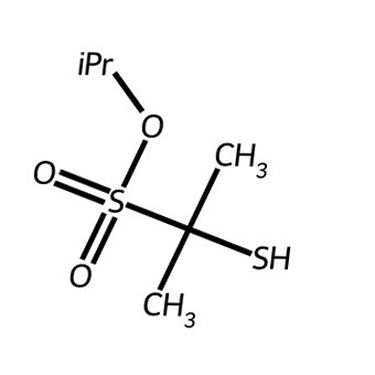 CC(C)OS(=O)(=O)C(C)(C)S